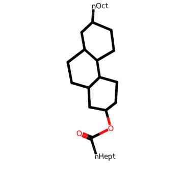 CCCCCCCCC1CCC2C(CCC3CC(OC(=O)CCCCCCC)CCC32)C1